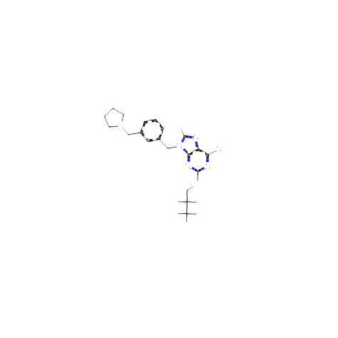 Nc1nc(OCC(F)(F)C(F)(F)F)nc2c1nc(O)n2Cc1cccc(CN2CCCC2)c1